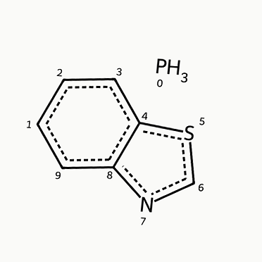 P.c1ccc2scnc2c1